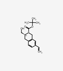 C=Cc1ccc2c(c1)CN(C(=O)OC(C)(C)C)[C@H](CO)C2